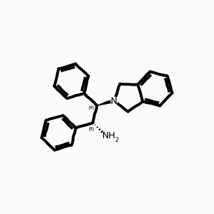 N[C@H](c1ccccc1)[C@@H](c1ccccc1)N1Cc2ccccc2C1